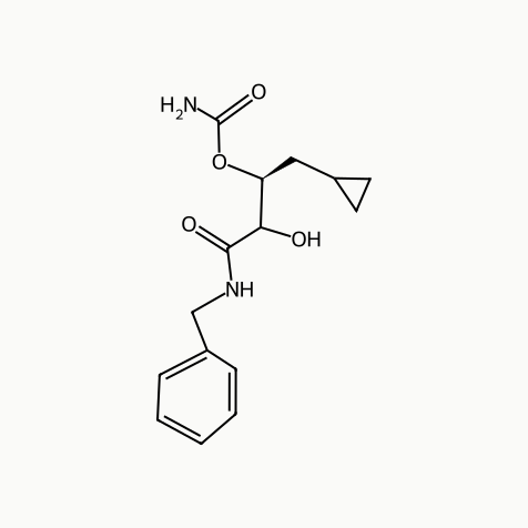 NC(=O)O[C@@H](CC1CC1)C(O)C(=O)NCc1ccccc1